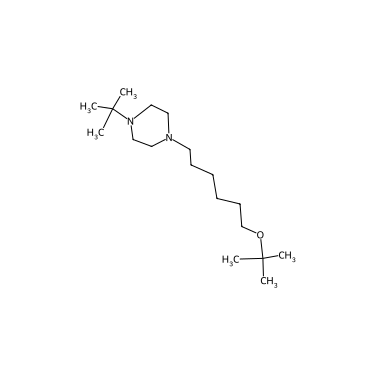 CC(C)(C)OCCCCCCN1CCN(C(C)(C)C)CC1